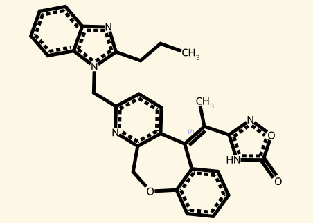 CCCc1nc2ccccc2n1Cc1ccc2c(n1)COc1ccccc1/C2=C(/C)c1noc(=O)[nH]1